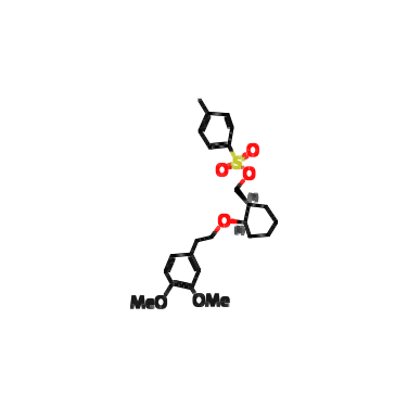 COc1ccc(CCO[C@@H]2CCCC[C@@H]2COS(=O)(=O)c2ccc(C)cc2)cc1OC